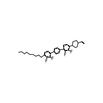 C=CC1CCC(c2ccc(-c3ccc(-c4ccc(CCCCCCCCC)c(F)c4F)cc3)c(F)c2F)CC1